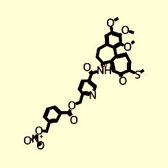 COc1cc2c(c(OC)c1OC)-c1ccc(SC)c(=O)cc1[C@@H](NC(=O)c1ccc(COC(=O)c3cccc(CO[N+](=O)[O-])c3)nc1)CC2